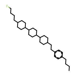 CCCCc1ccc(CCC2CCC(C3CCC(C4CCC(CCCCF)CC4)CC3)CC2)cc1